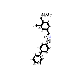 CNCc1ccc(/C=N/Nc2ccc(-c3cccnc3)cc2)cc1I